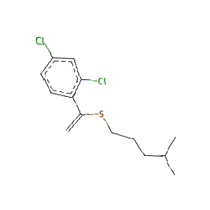 C=C(SCCCC(C)C)c1ccc(Cl)cc1Cl